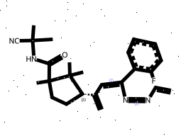 C=C/N=N\C(=C/C(=C)[C@@H]1CCC(C)(C(=O)NC(C)(C)C#N)C1(C)C)c1ccccc1F